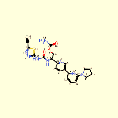 C#Cc1nnc(NC(=O)NC(COC(N)=O)c2ccc(-c3cccc(N4CCCC4)n3)cn2)s1